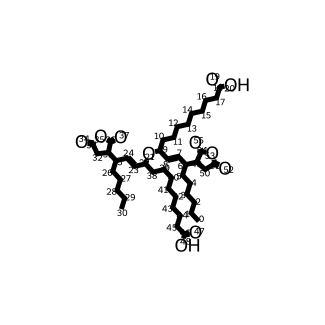 CCCCCCC(/C=C/C(CCCCCCCCC(=O)O)OC(/C=C/C(CCCCC)C1CC(=O)OC1=O)CCCCCCCCC(=O)O)C1CC(=O)OC1=O